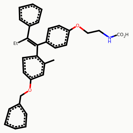 CCC(=C(c1ccc(OCCNC(=O)O)cc1)c1ccc(OCc2ccccc2)cc1C)c1ccccc1